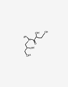 CC(C)N(CC(O)CO)C(=O)C(O)CO